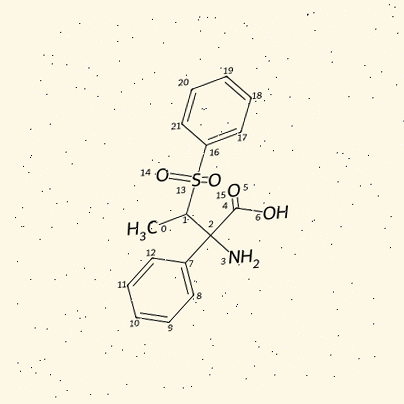 CC(C(N)(C(=O)O)c1ccccc1)S(=O)(=O)c1ccccc1